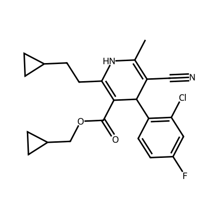 CC1=C(C#N)C(c2ccc(F)cc2Cl)C(C(=O)OCC2CC2)=C(CCC2CC2)N1